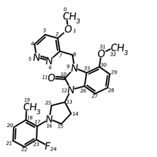 COc1ccnnc1Cn1c(=O)n(C2CCN(c3c(C)cccc3F)C2)c2cccc(OC)c21